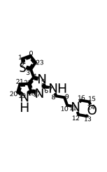 c1csc(-c2nc(NCCCN3CCOCC3)nc3[nH]ccc23)c1